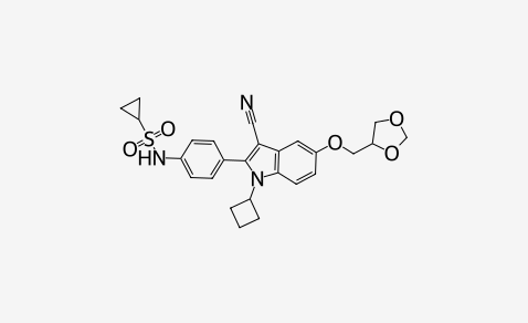 N#Cc1c(-c2ccc(NS(=O)(=O)C3CC3)cc2)n(C2CCC2)c2ccc(OCC3COCO3)cc12